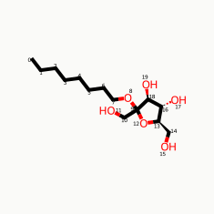 CCCCCCCCOC1(CO)O[C@H](CO)[C@@H](O)[C@@H]1O